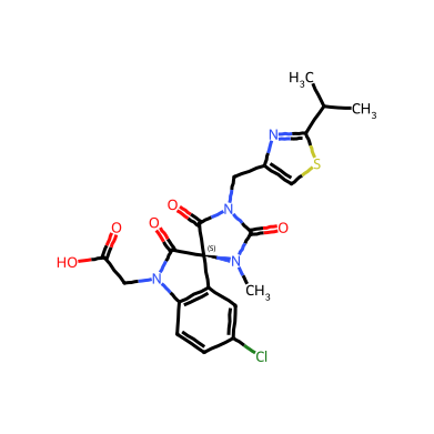 CC(C)c1nc(CN2C(=O)N(C)[C@]3(C2=O)C(=O)N(CC(=O)O)c2ccc(Cl)cc23)cs1